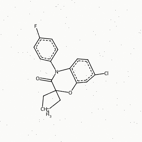 CCC1(CC)Oc2cc(Cl)ccc2N(c2ccc(F)cc2)C1=O